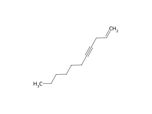 C=CCC#CCCCCCC